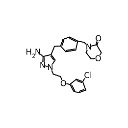 Nc1nn(CCOc2cccc(Cl)c2)cc1Cc1ccc(CN2CCOCC2=O)cc1